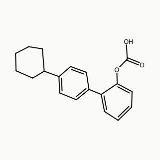 O=C(O)Oc1ccccc1-c1ccc(C2CCCCC2)cc1